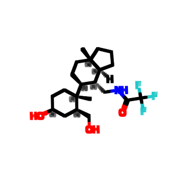 C[C@@]12CCC[C@H]1[C@H](CNC(=O)C(F)(F)F)[C@@H]([C@@]1(C)CC[C@H](O)C[C@@H]1CO)CC2